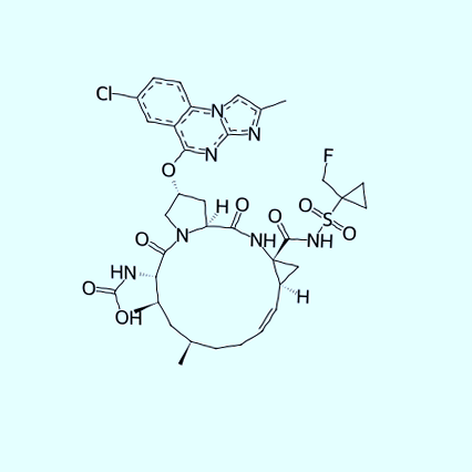 Cc1cn2c(n1)nc(O[C@@H]1C[C@H]3C(=O)N[C@]4(C(=O)NS(=O)(=O)C5(CF)CC5)C[C@H]4/C=C\CC[C@@H](C)C[C@@H](C)[C@H](NC(=O)O)C(=O)N3C1)c1cc(Cl)ccc12